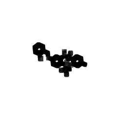 Cc1ccc(S(=O)(=O)Nc2cc(SCc3ccccc3Cl)ccc2[AsH]S(C)(=O)=O)cc1